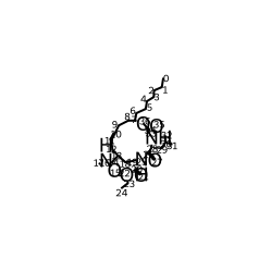 CCCCCCCC1CCC=CCC(C(=O)NC)C[C@@H](C(=O)OCC)NC(=O)[C@H](CC(C)C)NC(=O)O1